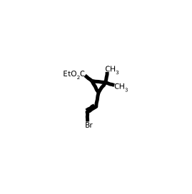 CCOC(=O)C1C(C=CBr)C1(C)C